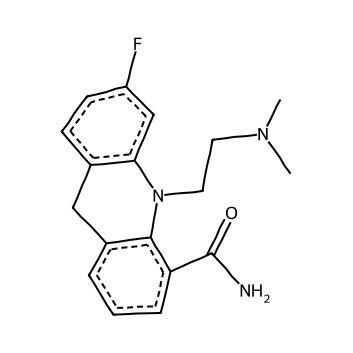 CN(C)CCN1c2cc(F)ccc2Cc2cccc(C(N)=O)c21